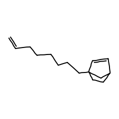 C=CCCCCCCC12C=CC(CC1)C2